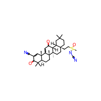 CC1(C)CC[C@]2(CCS(C)(=O)=NC#N)CC[C@]3(C)[C@H](C(=O)C=C4[C@@]5(C)C=C(C#N)C(=O)C(C)(C)[C@@H]5CC[C@]43C)[C@@H]2C1